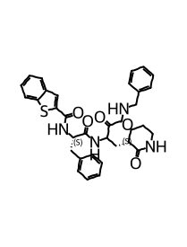 O=C(NCc1ccccc1)C(=O)C(C[C@@H]1CCCNC1=O)NC(=O)[C@H](Cc1ccccc1)NC(=O)c1cc2ccccc2s1